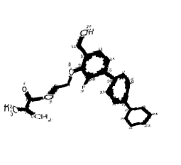 C=C(C)C(=O)OCCOc1c(CO)ccc(-c2ccc(C3CCCCC3)cc2)c1F